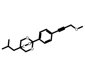 COCC#Cc1ccc(C23OCC(CC(C)C)(CO2)CO3)cc1